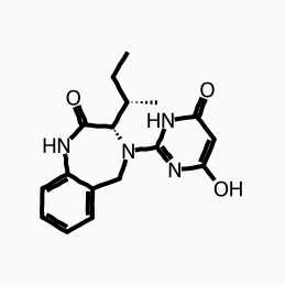 CC[C@H](C)[C@H]1C(=O)Nc2ccccc2CN1c1nc(O)cc(=O)[nH]1